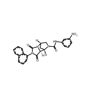 O=C1[C@@H]2[C@@H]3C[C@@H](CN3C(=O)Nc3cccc([N+](=O)[O-])c3)N2C(=O)N1c1cccc2ccccc12